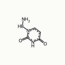 NBn1ccc(=O)[nH]c1=O